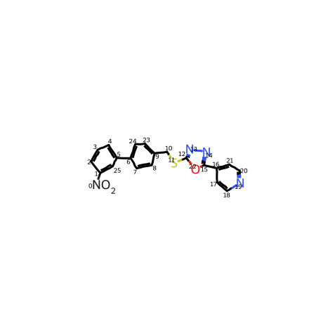 O=[N+]([O-])c1cccc(-c2ccc(CSc3nnc(-c4ccncc4)o3)cc2)c1